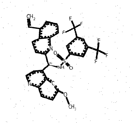 C=Cc1cccc2nc([C@@H](NS(=O)(=O)c3cc(C(F)(F)F)cc(C(F)(F)F)c3)c3ccnc4ccc(OC)cc34)ccc12